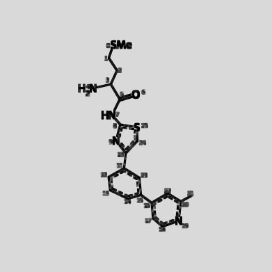 CSCCC(N)C(=O)Nc1nc(-c2cccc(-c3ccnc(C)c3)c2)cs1